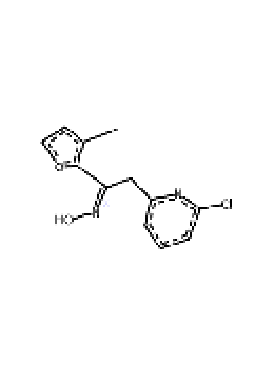 Cc1ccoc1/C(Cc1cccc(Cl)n1)=N\O